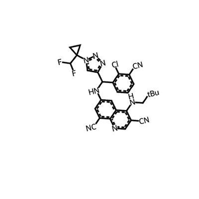 CC(C)(C)CNc1c(C#N)cnc2c(C#N)cc(NC(c3cn(C4(C(F)F)CC4)nn3)c3cccc(C#N)c3Cl)cc12